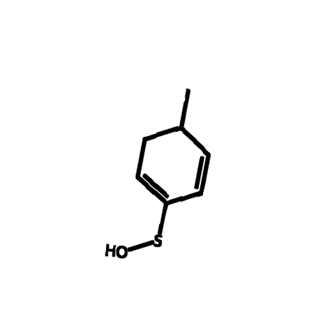 CC1C=CC(SO)=CC1